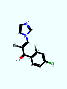 CCC(=Cn1ccnc1)C(=O)c1ccc(Cl)cc1Cl